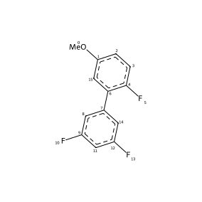 COc1ccc(F)c(-c2cc(F)cc(F)c2)c1